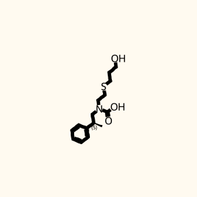 C[C@H](CN(CCSCCCO)C(=O)O)c1ccccc1